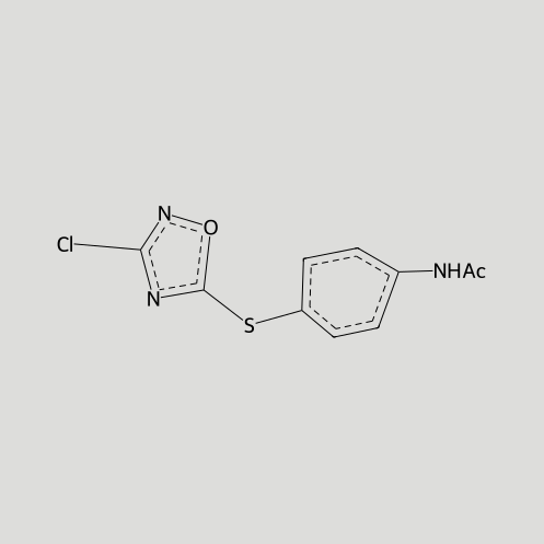 CC(=O)Nc1ccc(Sc2nc(Cl)no2)cc1